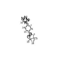 CC1(C)CB(c2ccc(-n3cnnn3)cc2)OC1(C)C